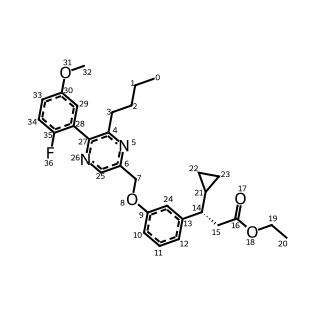 CCCCc1nc(COc2cccc([C@@H](CC(=O)OCC)C3CC3)c2)cnc1-c1cc(OC)ccc1F